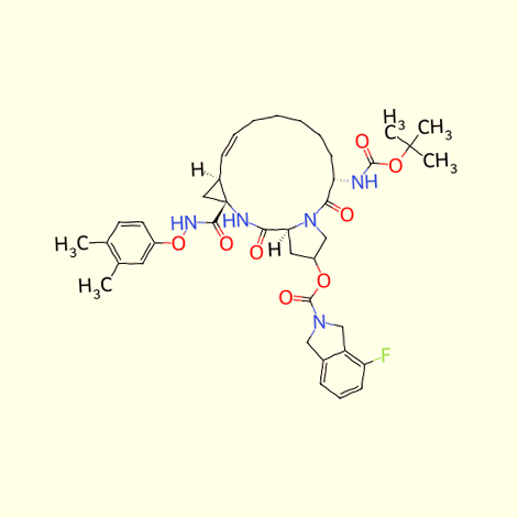 Cc1ccc(ONC(=O)[C@@]23C[C@H]2/C=C\CCCCC[C@H](NC(=O)OC(C)(C)C)C(=O)N2CC(OC(=O)N4Cc5cccc(F)c5C4)C[C@H]2C(=O)N3)cc1C